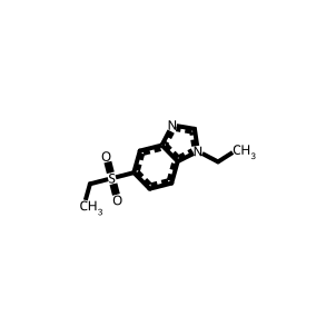 CCn1cnc2cc(S(=O)(=O)CC)ccc21